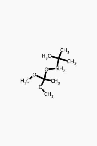 COC(C)(OC)O[SiH2]C(C)(C)C